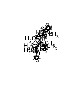 C=C[C@@H]1C[C@]1(NC(=O)[C@@H]1C[C@@]2(CN1C(=O)[C@@H](NC(=O)OC1CCCC1)C(C)C)C(C)(C)C21CCC1)C(=O)NS(=O)(=O)c1ccccc1NC